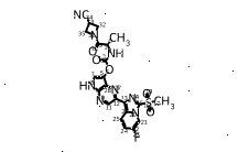 C[C@@H](NC(=O)Oc1c[nH]c2ncc(-c3nc(S(C)(=O)=O)n4cc(F)ccc34)nc12)C(=O)N1CC(C#N)C1